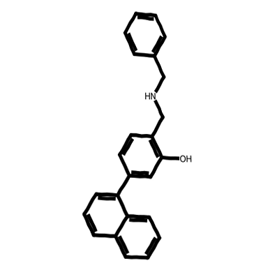 Oc1cc(-c2cccc3ccccc23)ccc1CNCc1ccccc1